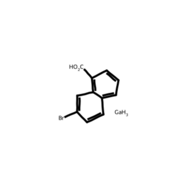 O=C(O)c1cccc2ccc(Br)cc12.[GaH3]